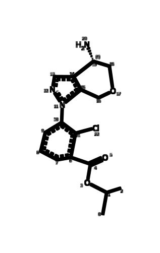 CC(C)OC(=O)c1cccc(-n2ncc3c2COC[C@H]3N)c1Cl